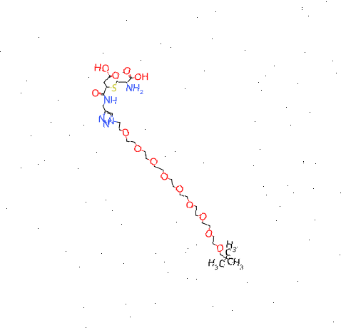 CC(C)(C)COCCOCCOCCOCCOCCOCCOCCOCCOCCn1cc(CNC(=O)C(CC(=O)O)SCC(N)C(=O)O)nn1